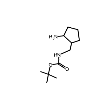 CC(C)(C)OC(=O)NCC1CCCC1N